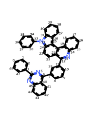 c1ccc(-c2nc(-c3cccc(-c4nc5ccccc5c5c4ccc4c5c5ccccc5n4-c4ccccc4)c3)c3ccccc3n2)cc1